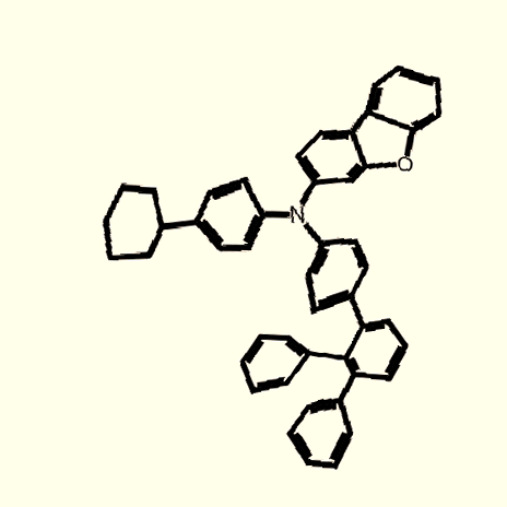 c1ccc(-c2cccc(-c3ccc(N(c4ccc(C5CCCCC5)cc4)c4ccc5c(c4)oc4ccccc45)cc3)c2-c2ccccc2)cc1